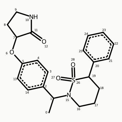 CC(c1ccc(OC2CCNC2=O)cc1)N1CCCC(c2ccccc2)S1(=O)=O